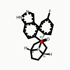 O=C(c1ccc2[nH]ncc2c1)N1[C@@H]2CC[C@H]1C[C@@H](c1ccc(F)cc1)C2